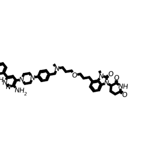 CN(CCCOCCCc1cccc2c1n(C)c(=O)n2C1CCC(=O)NC1=O)Cc1ccc(N2CCN(c3cc(-c4ccccc4O)nnc3N)CC2)cc1